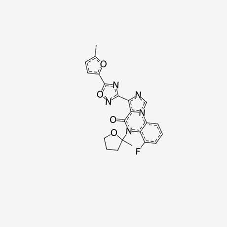 Cc1ccc(-c2nc(-c3ncn4c3c(=O)n(C3(C)CCCO3)c3c(F)cccc34)no2)o1